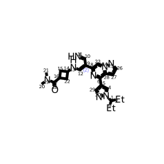 CCC(CC)n1cc(-c2nc(/C(C=N)=C/NC3CC(C(=O)N(C)C)C3)cn3nccc23)cn1